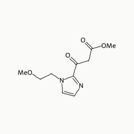 COCCn1ccnc1C(=O)CC(=O)OC